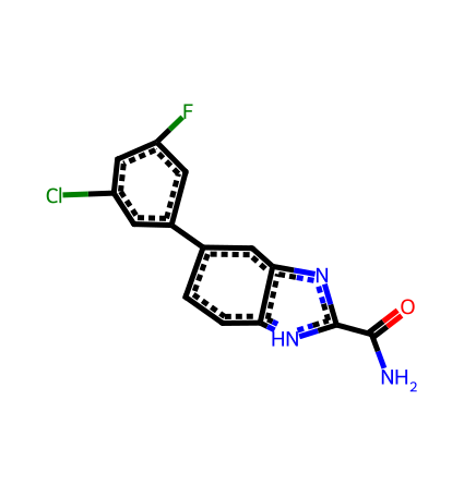 NC(=O)c1nc2cc(-c3cc(F)cc(Cl)c3)ccc2[nH]1